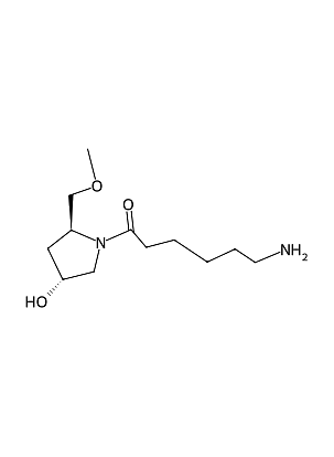 COC[C@@H]1C[C@@H](O)CN1C(=O)CCCCCN